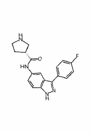 O=C(Nc1ccc2[nH]nc(-c3ccc(F)cc3)c2c1)[C@@H]1CCNC1